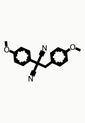 COc1ccc(CC(C#N)(C#N)c2ccc(OC)cc2)cc1